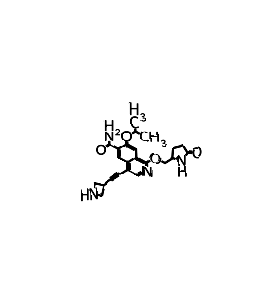 CC(C)Oc1cc2c(OCC3CCC(=O)N3)ncc(C#CC3CNC3)c2cc1C(N)=O